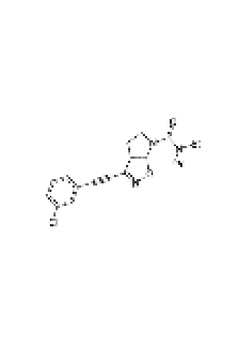 CCN(C(=O)N1CCC2C(C#Cc3cccc(Cl)c3)=NOC21)C(C)C